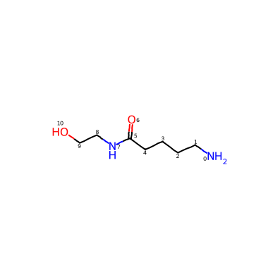 NCCCCC(=O)NCCO